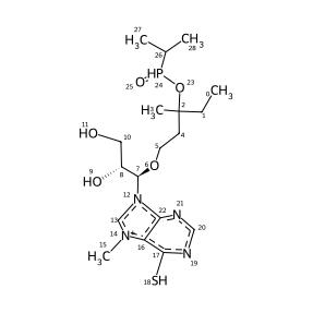 CCC(C)(CCO[C@H]([C@H](O)CO)n1c[n+](C)c2c(S)ncnc21)O[PH](=O)C(C)C